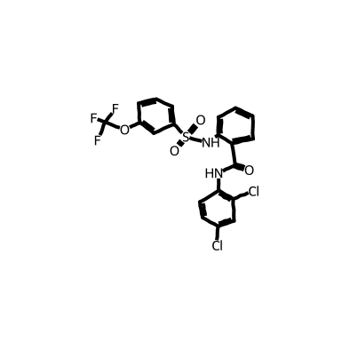 O=C(Nc1ccc(Cl)cc1Cl)c1ccccc1NS(=O)(=O)c1cccc(OC(F)(F)F)c1